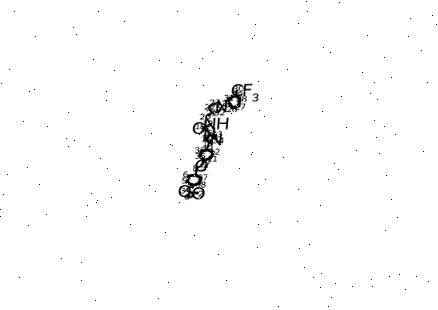 CS(=O)(=O)c1ccc(COc2ccc(-c3cn(C(=O)NCC4CCN(c5cccc(C(F)(F)F)c5)C4)cn3)cc2)cc1